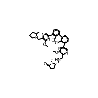 COc1nc(-c2cccc(-c3cccc(-c4cnc(CN5CCCC5C)c(OC)n4)c3Cl)c2Cl)cnc1CNC[C@@H]1CCC(=O)N1